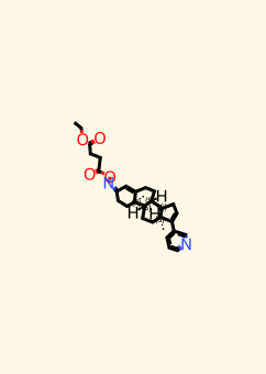 CCOC(=O)CCC(=O)ON=C1C=C2CC[C@H]3[C@H](CC[C@]4(C)C(c5cccnc5)=CC[C@@H]34)[C@@]2(C)CC1